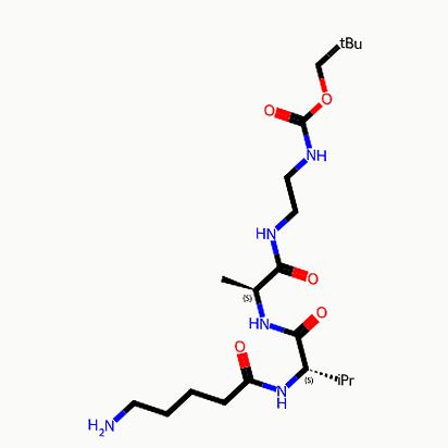 CC(C)[C@H](NC(=O)CCCCN)C(=O)N[C@@H](C)C(=O)NCCNC(=O)OCC(C)(C)C